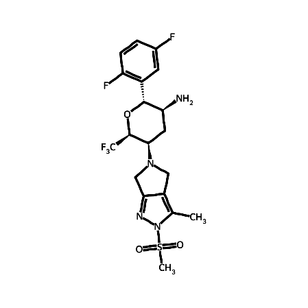 Cc1c2c(nn1S(C)(=O)=O)CN([C@@H]1C[C@H](N)[C@@H](c3cc(F)ccc3F)O[C@@H]1C(F)(F)F)C2